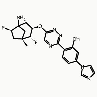 B[C@]12C[C@@H](Oc3cnc(-c4ccc(-n5ccnc5)cc4O)nn3)[C@H](F)[C@](C)(C[C@H]1F)C2